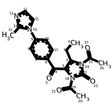 CCc1c(C(=O)c2ccc(-n3ccnc3C)cc2)n(C(C)=O)c(=O)n1C(C)=O